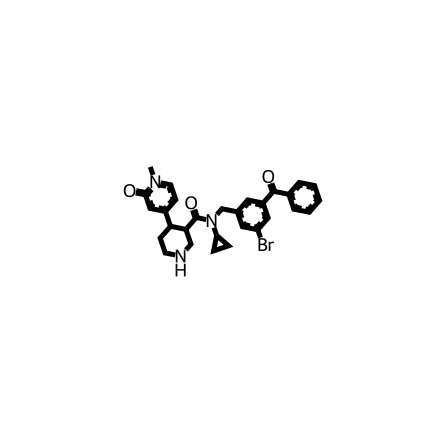 Cn1ccc(C2CCNCC2C(=O)N(Cc2cc(Br)cc(C(=O)c3ccccc3)c2)C2CC2)cc1=O